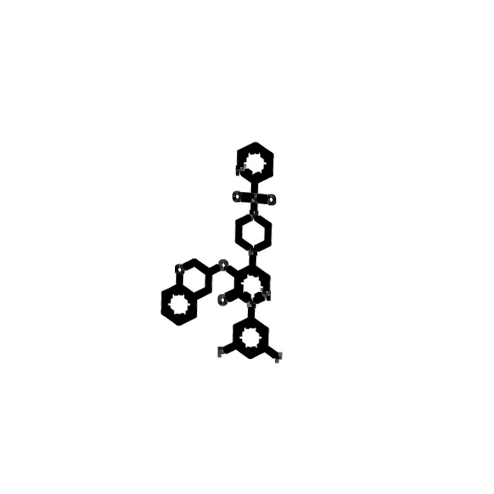 O=c1c(OC2COc3ccccc3C2)c(N2CCN(S(=O)(=O)c3ccccn3)CC2)cnn1-c1cc(F)cc(F)c1